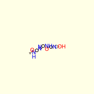 O=C(Nc1ccc2nn(-c3ccc(NC(=O)C4CC4)cc3)cc2c1)c1ccc(N2CCC(O)CC2)cc1